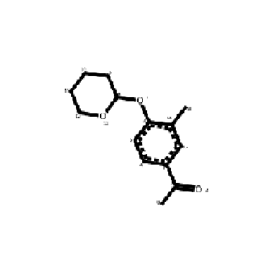 CC(=O)c1ccc(OC2CCCCO2)c(C)c1